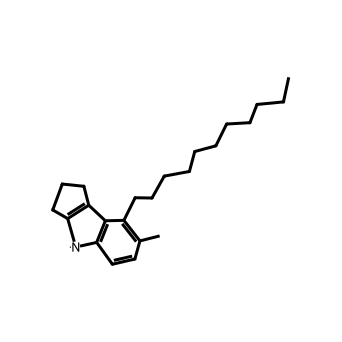 CCCCCCCCCCCc1c(C)ccc2c1C1=C(CCC1)[N]2